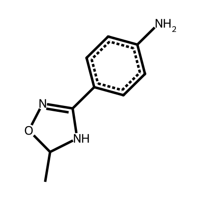 CC1NC(c2ccc(N)cc2)=NO1